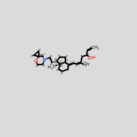 C=CC(O)C/C(=C\C=C1/CCC[C@@]2(C)C1CC[C@@H]2CCN1CCOC2(CC2)C1)CCC